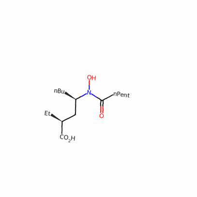 CCCCCC(=O)N(O)[C@H](CCCC)C[C@H](CC)C(=O)O